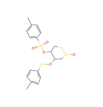 Cc1ccc(SOC2C[S+]([O-])SCC2OS(=O)(=O)c2ccc(C)cc2)cc1